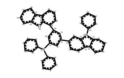 c1ccc(N(c2ccccc2)c2cc(-c3ccc4c5ccccc5n(-c5ccccc5)c4c3)cc(-c3cccc4c3oc3ccccc34)c2)cc1